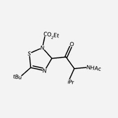 CCOC(=O)N1SC(C(C)(C)C)=NC1C(=O)C(NC(C)=O)C(C)C